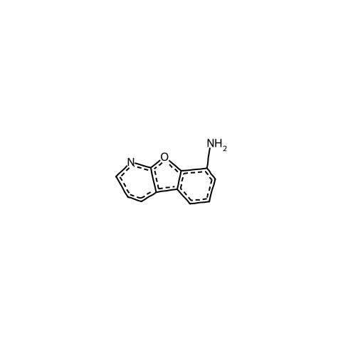 Nc1cccc2c1oc1ncccc12